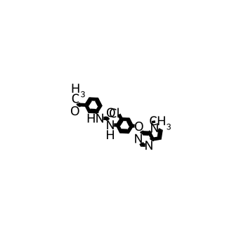 CC(=O)c1cccc(NC(=O)Nc2ccc(Oc3ncnc4ccn(C)c34)cc2Cl)c1